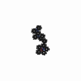 O=c1c2ccccc2c2cccc3c4cc(-c5cccc(-c6ccc(-n7c8ccccc8c8c9c%10ccccc%10n(-c%10ccccc%10)c9ccc87)c7ccccc67)c5)cc(-c5cccc(-c6ccccc6)c5)c4n1c23